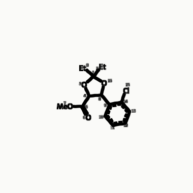 CCC1(CC)OC(C(=O)OC)C(c2ccccc2Cl)O1